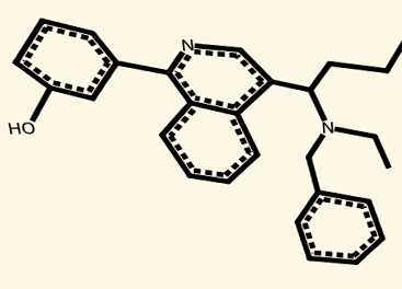 CCCC(c1cnc(-c2cccc(O)c2)c2ccccc12)N(CC)Cc1ccccc1